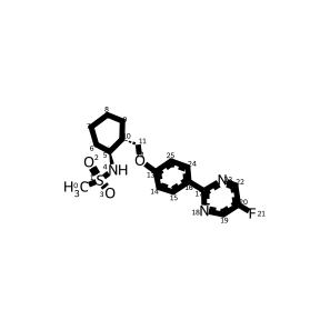 CS(=O)(=O)N[C@H]1CCCC[C@@H]1COc1ccc(-c2ncc(F)cn2)cc1